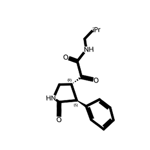 CC(C)CNC(=O)C(=O)[C@H]1CNC(=O)[C@@H]1c1ccccc1